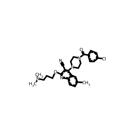 Cc1ccc2nc(OCCCN(C)C)c(C#N)c(N3CCN(C(=O)c4ccc(Cl)cc4)CC3)c2c1